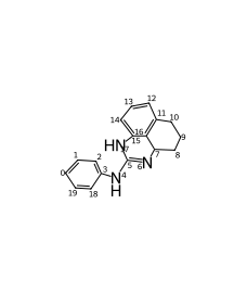 c1ccc(NC2=NC3CCCc4cccc(c43)N2)cc1